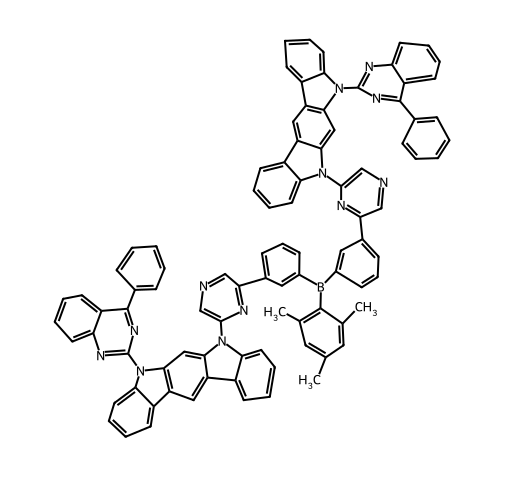 Cc1cc(C)c(B(c2cccc(-c3cncc(-n4c5ccccc5c5cc6c7ccccc7n(-c7nc(-c8ccccc8)c8ccccc8n7)c6cc54)n3)c2)c2cccc(-c3cncc(-n4c5ccccc5c5cc6c7ccccc7n(-c7nc(-c8ccccc8)c8ccccc8n7)c6cc54)n3)c2)c(C)c1